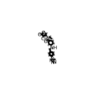 CC1=C(N2CC[C@]3(CC[C@H](NCc4ccc(-n5cnnn5)cc4)CC3)C2=O)COC1=O